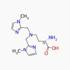 Cn1ccnc1CN(CC[C@H](N)C(=O)O)Cc1nccn1C